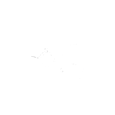 C/C=C\c1sc2cc(C)sc2c1C(C)C